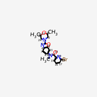 CC1CN(c2nc3ccc(N(C)C(=O)c4cccc(Br)n4)cc3o2)CC(C)O1